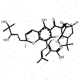 CC(C)=CCc1c2c(c(O)c3c1O[C@]14C(=C[C@@H]5CC1C(C)(C)O[C@@]4(C/C=C(/C)C(=O)O)C5=O)C3=O)C=C[C@](C)(CCC(O)C(C)(C)O)O2